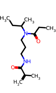 C=C(C)C(=O)NCCCN(C(=O)CC)C(C)CC